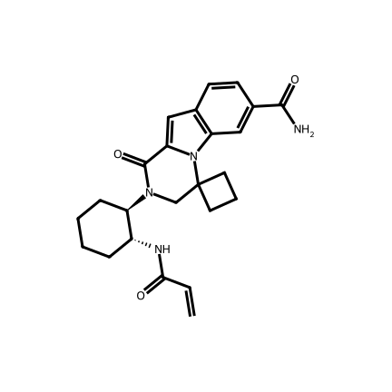 C=CC(=O)N[C@@H]1CCCC[C@H]1N1CC2(CCC2)n2c(cc3ccc(C(N)=O)cc32)C1=O